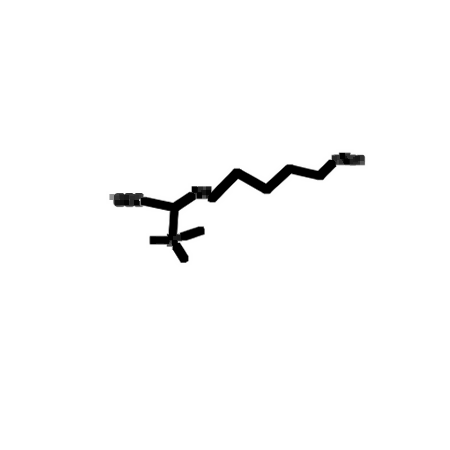 CCCCCCCCCCCCCCNC(C(=O)[O-])[N+](C)(C)C